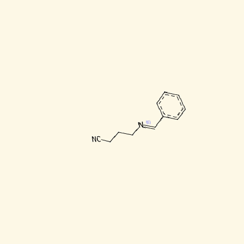 N#CCCC/N=C/c1ccccc1